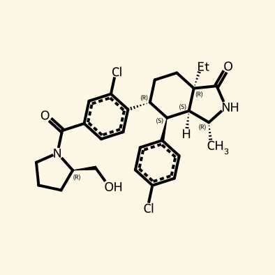 CC[C@@]12CC[C@@H](c3ccc(C(=O)N4CCC[C@@H]4CO)cc3Cl)[C@H](c3ccc(Cl)cc3)[C@@H]1[C@@H](C)NC2=O